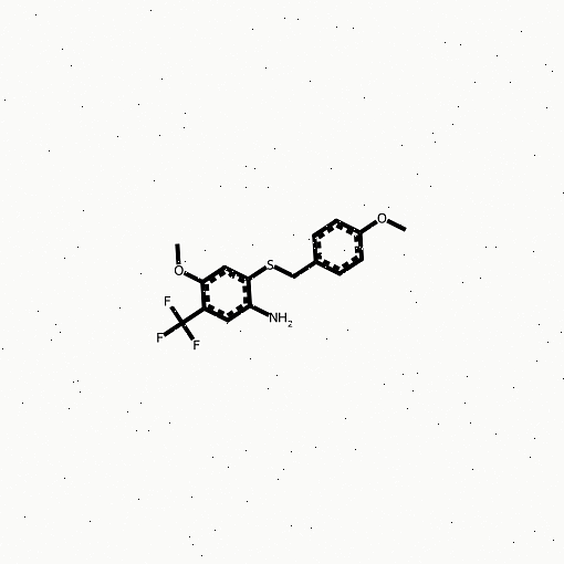 COc1ccc(CSc2cc(OC)c(C(F)(F)F)cc2N)cc1